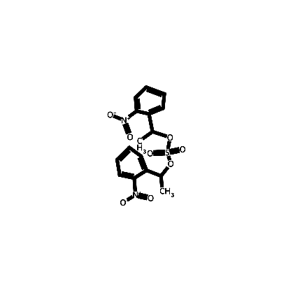 CC(OS(=O)(=O)OC(C)c1ccccc1[N+](=O)[O-])c1ccccc1[N+](=O)[O-]